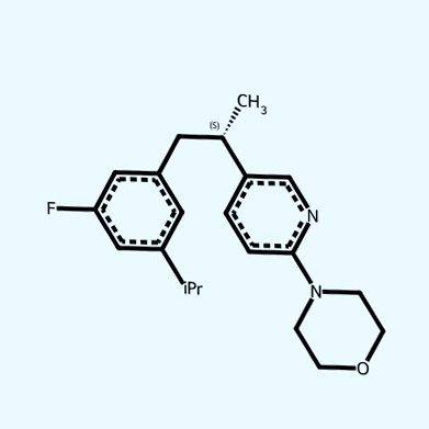 CC(C)c1cc(F)cc(C[C@H](C)c2ccc(N3CCOCC3)nc2)c1